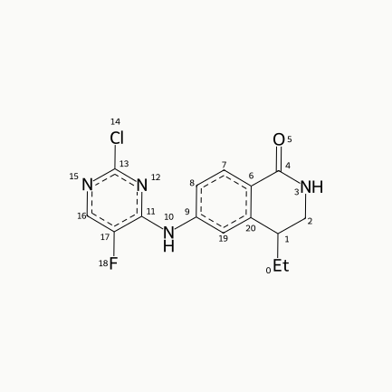 CCC1CNC(=O)c2ccc(Nc3nc(Cl)ncc3F)cc21